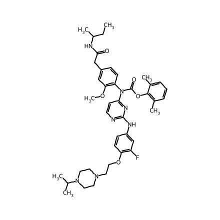 CCC(C)NC(=O)Cc1ccc(N(C(=O)Oc2c(C)cccc2C)c2ccnc(Nc3ccc(OCCN4CCN(C(C)C)CC4)c(F)c3)n2)c(OC)c1